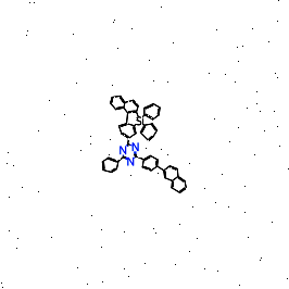 c1ccc(-c2nc(-c3ccc(-c4ccc5ccccc5c4)cc3)nc(-c3ccc4c(c3)[Si](c3ccccc3)(c3ccccc3)c3ccc5ccccc5c3-4)n2)cc1